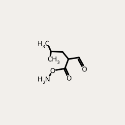 CC(C)CC(C=O)C(=O)ON